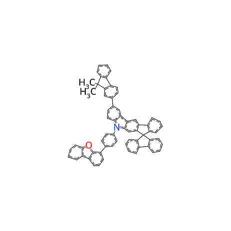 CC1(C)c2ccccc2-c2ccc(-c3ccc4c(c3)c3cc5c(cc3n4-c3ccc(-c4cccc6c4oc4ccccc46)cc3)C3(c4ccccc4-c4ccccc43)c3ccccc3-5)cc21